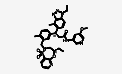 CC[C@@H]1CN(Cc2cc([C@H](CC(=O)Nc3cncc(OC)c3)c3ccc4c(nnn4CC)c3C)ccc2C)S(=O)(=O)c2cccnc2O1